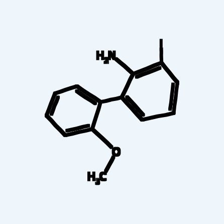 COc1ccccc1-c1cccc(I)c1N